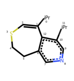 CC(C)C1=CSCCc2cncc(C(C)C)c21